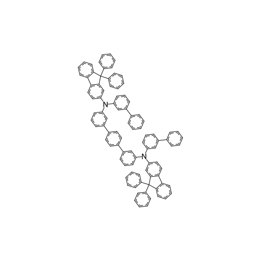 c1ccc(-c2cccc(N(c3cccc(-c4ccc(-c5cccc(N(c6cccc(-c7ccccc7)c6)c6ccc7c(c6)C(c6ccccc6)(c6ccccc6)c6ccccc6-7)c5)cc4)c3)c3ccc4c(c3)C(c3ccccc3)(c3ccccc3)c3ccccc3-4)c2)cc1